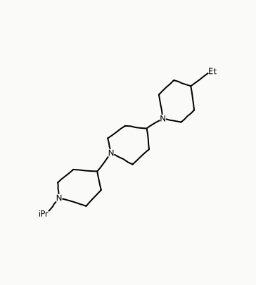 CCC1CCN(C2CCN(C3CCN(C(C)C)CC3)CC2)CC1